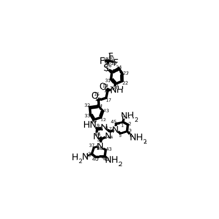 NC1CC(N)CN(c2nc(Nc3ccc(C(=O)CC(=O)Nc4cccc(SC(F)(F)F)c4)cc3)nc(N3C[C@H](N)C[C@@H](N)C3)n2)C1